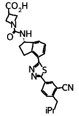 CC(C)Cc1ccc(-c2nnc(-c3cccc4c3CC[C@@H]4NC(=O)N3CC(C(=O)O)C3)s2)cc1C#N